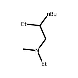 CCCCC(CC)CN(C)CC